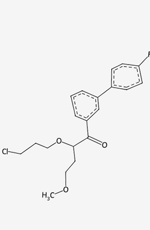 COCCC(OCCCCl)C(=O)c1cccc(-c2ccc(F)cc2)c1